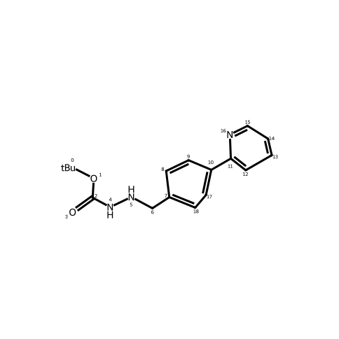 CC(C)(C)OC(=O)NNCc1ccc(-c2ccccn2)cc1